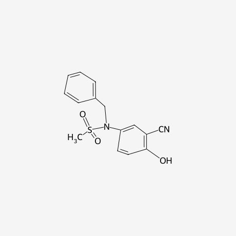 CS(=O)(=O)N(Cc1ccccc1)c1ccc(O)c(C#N)c1